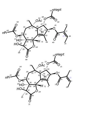 C/C=C(/C)C(=O)O[C@H]1C(C)=C2[C@H]([C@@H]1OC(=O)CCCCCCC)[C@@](C)(OC(C)=O)C[C@H](OC(=O)CCC)[C@@]1(O)[C@H]2OC(=O)[C@@]1(C)O.C/C=C(/C)C(=O)O[C@H]1C(C)=C2[C@H]([C@@H]1OC(=O)CCCCCCC)[C@@](C)(OC(C)=O)C[C@H](OC(=O)CCC)[C@@]1(O)[C@H]2OC(=O)[C@@]1(C)O